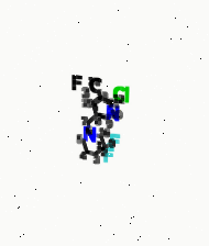 FC1(F)CCCN(Cc2cnc(Cl)c(C(F)(F)F)c2)C1